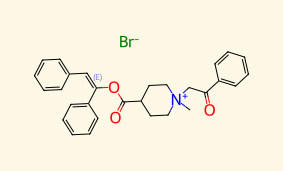 C[N+]1(CC(=O)c2ccccc2)CCC(C(=O)O/C(=C/c2ccccc2)c2ccccc2)CC1.[Br-]